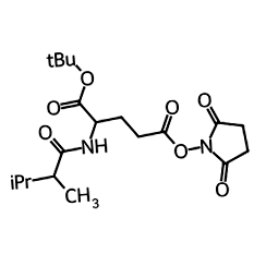 CC(C)C(C)C(=O)NC(CCC(=O)ON1C(=O)CCC1=O)C(=O)OC(C)(C)C